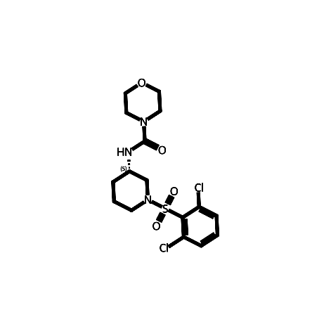 O=C(N[C@H]1CCCN(S(=O)(=O)c2c(Cl)cccc2Cl)C1)N1CCOCC1